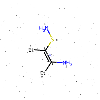 CC/C(N)=C(\CC)SN